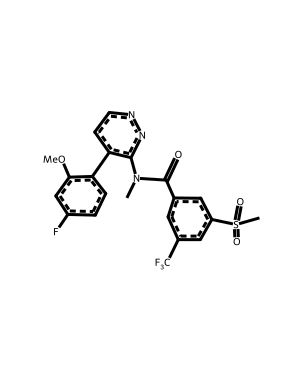 COc1cc(F)ccc1-c1ccnnc1N(C)C(=O)c1cc(C(F)(F)F)cc(S(C)(=O)=O)c1